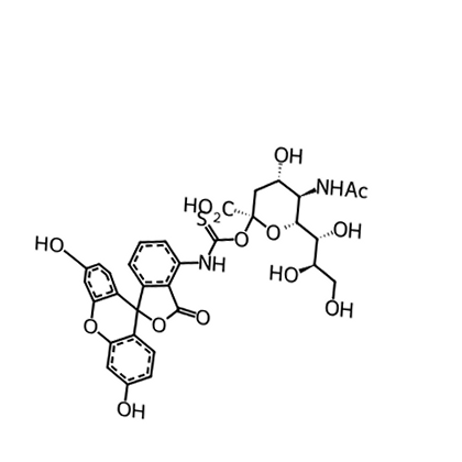 CC(=O)N[C@H]1[C@H]([C@H](O)[C@H](O)CO)O[C@](OC(=S)Nc2cccc3c2C(=O)OC32c3ccc(O)cc3Oc3cc(O)ccc32)(C(=O)O)C[C@@H]1O